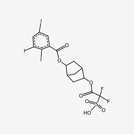 O=C(OC1CC2CC1CC2OC(=O)C(F)(F)S(=O)(=O)O)c1cc(I)cc(I)c1I